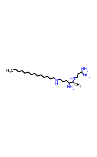 CCCCCCCCCCCCCCNCCCC(N)C(C)NCCC(N)N